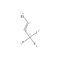 CCC=CC(F)(F)I